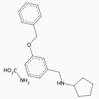 NC(=O)O.c1ccc(COc2cccc(CNC3CCCC3)c2)cc1